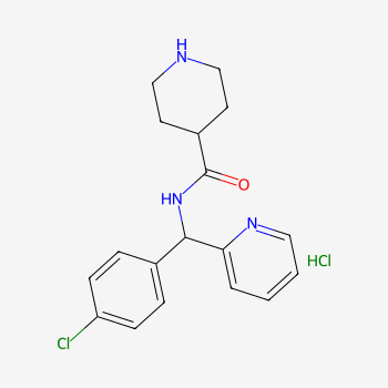 Cl.O=C(NC(c1ccc(Cl)cc1)c1ccccn1)C1CCNCC1